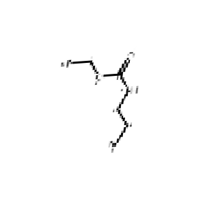 O=C(NCCBr)OCF